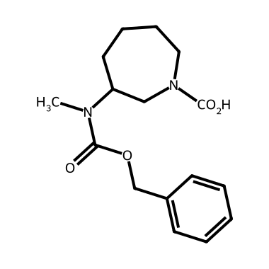 CN(C(=O)OCc1ccccc1)C1CCCCN(C(=O)O)C1